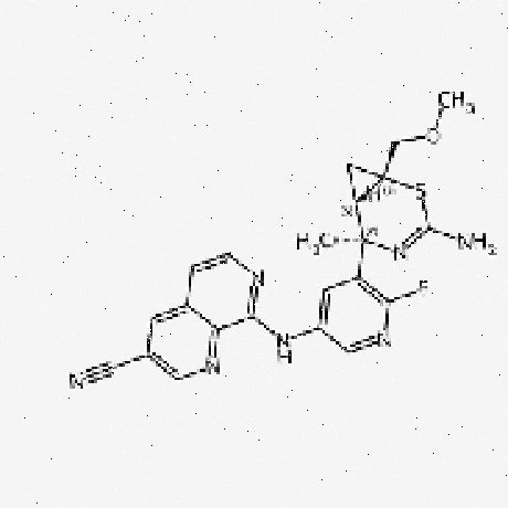 COC[C@]12C[C@H]1[C@](C)(c1cc(Nc3nccc4cc(C#N)cnc34)cnc1F)N=C(N)S2